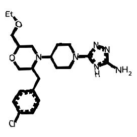 CCOCC1CN(C2CCN(c3nnc(N)[nH]3)CC2)C(Cc2ccc(Cl)cc2)CO1